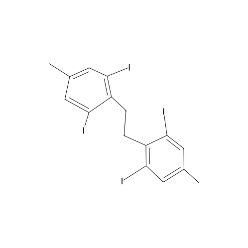 Cc1cc(I)c(CCc2c(I)cc(C)cc2I)c(I)c1